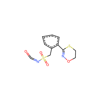 O=C=NS(=O)(=O)Cc1ccccc1C1=NOCCS1